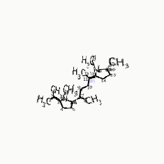 CC(C)=C1CC[C@H](C(C)CC/C(C)=C2\CC[C@@H](C)N2C)N1C